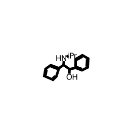 CC(C)NC(c1ccccc1)C(O)c1ccccc1